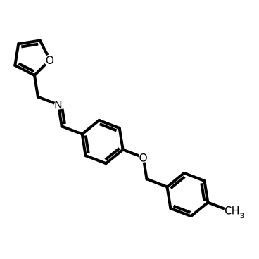 Cc1ccc(COc2ccc(C=NCc3ccco3)cc2)cc1